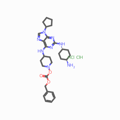 Cl.Cl.N[C@H]1CC[C@H](Nc2nc(NC3CCN(OC(=O)OCc4ccccc4)CC3)c3ncn(C4CCCC4)c3n2)CC1